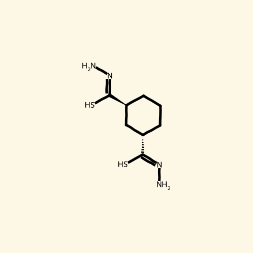 N/N=C(\S)[C@H]1CCC[C@H](/C(S)=N/N)C1